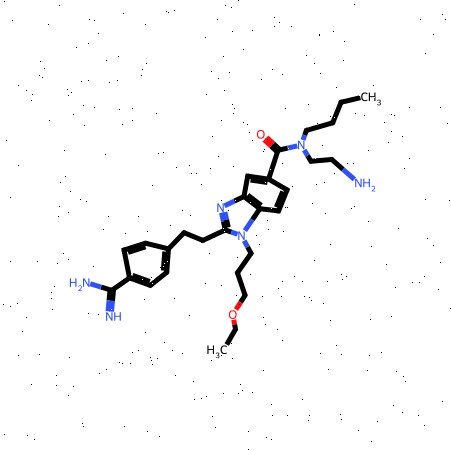 CCCCN(CCN)C(=O)c1ccc2c(c1)nc(CCc1ccc(C(=N)N)cc1)n2CCCOCC